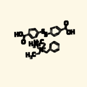 CC[N+](CC)(CC)Cc1ccccc1.O=C(O)c1ccc(SSc2ccc(C(=O)O)cc2)cc1